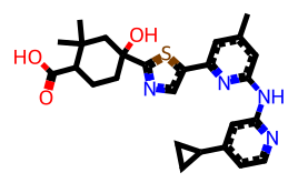 Cc1cc(Nc2cc(C3CC3)ccn2)nc(-c2cnc(C3(O)CCC(C(=O)O)C(C)(C)C3)s2)c1